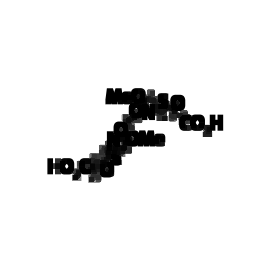 COc1cc2sc(C(=O)CCC(=O)O)cc2nc1OCCCOc1nc2cc(C(=O)C[C@H](C)C(=O)O)sc2cc1OC